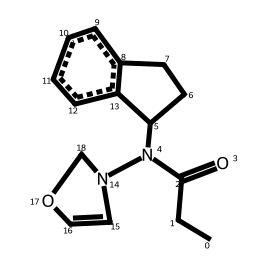 CCC(=O)N(C1CCc2ccccc21)N1C=COC1